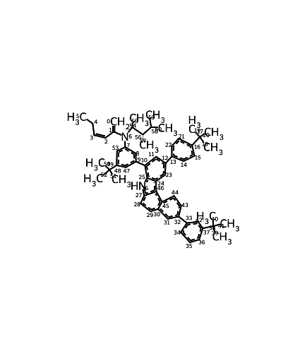 C=C(/C=C\CC)N(c1cc(-c2cc(-c3ccc(C(C)(C)C)cc3)cc3c2[nH]c2ccc4cc(-c5cccc(C(C)(C)C)c5)ccc4c23)cc(C(C)(C)C)c1)C(C)[C@@H](C)C(C)C